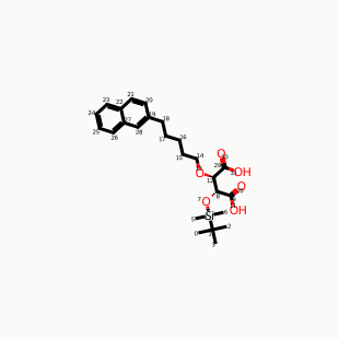 CC(C)(C)[Si](C)(C)O[C@@H](C(=O)O)[C@@H](OCCCCCc1ccc2ccccc2c1)C(=O)O